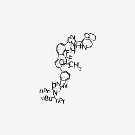 CCCCC(CCC)N(Cc1nc2c([nH]1)=CC(C1=C/C=C(\C)C3=C=CC=C(c4cnc(C5CC6(CCCO6)CCN5)[nH]4)C=C3C(F)(F)\C(C)=C\1)=C=CC=2)C(=O)CCC